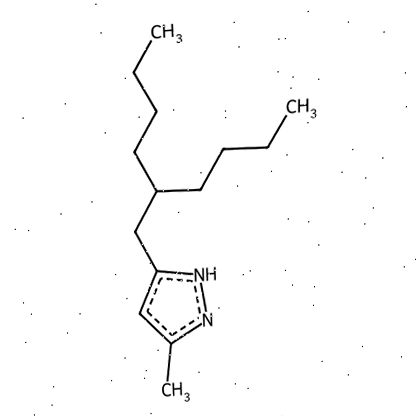 CCCCC(CCCC)Cc1cc(C)n[nH]1